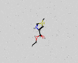 CCOC(=O)C1=C[SH](C)C=N1